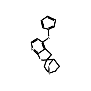 c1ccc(Sc2ccnc3c2CC2(CN4CCC2CC4)O3)cc1